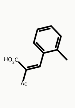 CC(=O)C(=Cc1ccccc1C)C(=O)O